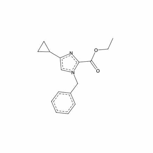 CCOC(=O)c1nc(C2CC2)cn1Cc1ccccc1